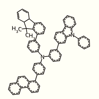 CC1(C)c2c(-c3cccc(N(c4ccc(-c5cccc6c5ccc5ccccc56)cc4)c4cccc(-c5ccc6c7ccccc7n(-c7ccccc7)c6c5)c4)c3)cccc2C2C=CC=CC21